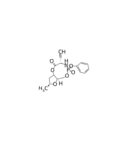 C#C[C@@H]1NP(=O)(Oc2ccccc2)OC[C@H]2O[C@@H](C)CC2OC1=O